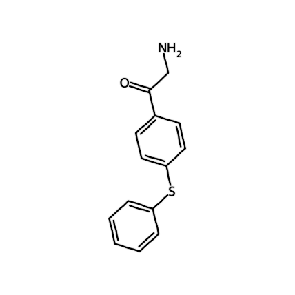 NCC(=O)c1ccc(Sc2ccccc2)cc1